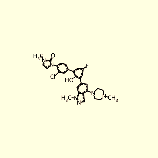 CN1CCN(c2cc(-c3cc(F)cc(-c4ccc(-n5ccn(C)c5=O)c(Cl)c4)c3O)cc3c2cnn3C)CC1